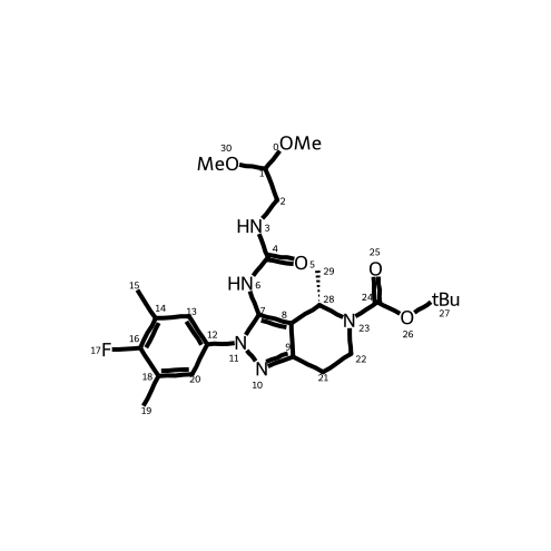 COC(CNC(=O)Nc1c2c(nn1-c1cc(C)c(F)c(C)c1)CCN(C(=O)OC(C)(C)C)[C@H]2C)OC